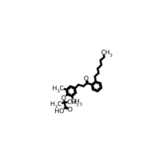 CCCCCCCc1ccccc1C(=O)CCc1cc(C)c(OC(C)(C)C(=O)O)c(C)c1